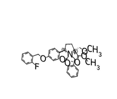 COC[C@@]1(C(=O)OC)CC[C@H](c2ccc(OCc3ccccc3F)cc2)[N+]1(Cc1ccccc1)C(=O)[O-]